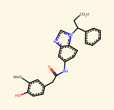 COc1cc(CC(=O)Nc2ccc3c(c2)ncn3C(CC(=O)O)c2ccccc2)ccc1O